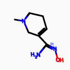 CN1CCC=C(/C(N)=N/O)C1